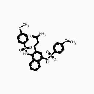 COc1ccc(S(=O)(=O)Nc2cc(CCC(N)=O)c(NS(=O)(=O)c3ccc(OC)cc3)c3ccccc23)cc1